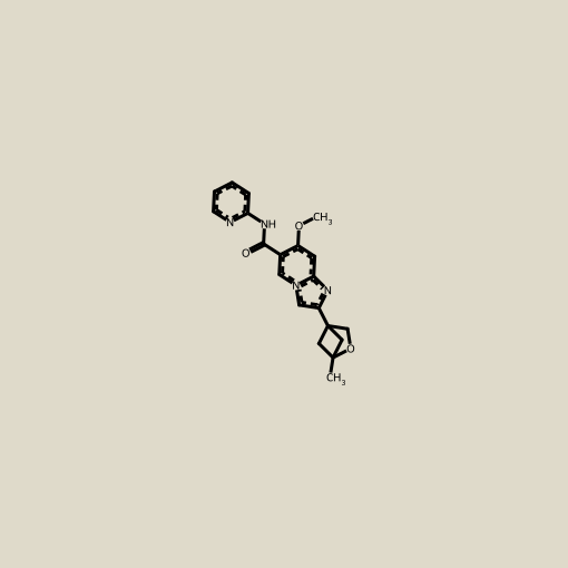 COc1cc2nc(C34COC(C)(C3)C4)cn2cc1C(=O)Nc1ccccn1